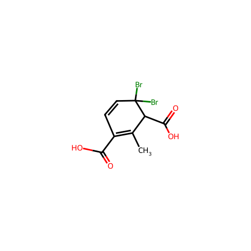 CC1=C(C(=O)O)C=CC(Br)(Br)C1C(=O)O